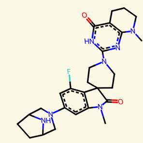 CN1CCCc2c1nc(N1CCC3(CC1)C(=O)N(C)c1cc(N4CC5CCC(C4)N5)cc(F)c13)[nH]c2=O